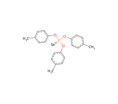 Cc1ccc(OP(=[Se])(Oc2ccc(C)cc2)Oc2ccc(C)cc2)cc1